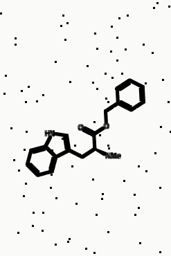 CN[C@@H](Cc1c[nH]c2ccccc12)C(=O)OCc1ccccc1